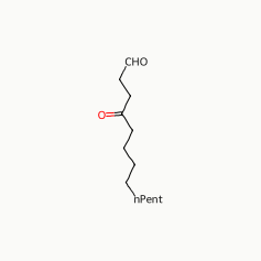 CCCCCCCCCC(=O)CCC=O